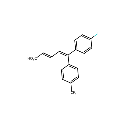 O=C(O)C=CC=C(c1ccc(F)cc1)c1ccc(C(F)(F)F)cc1